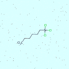 ClC(Cl)(Cl)CCCCC[Si](Cl)(Cl)Cl